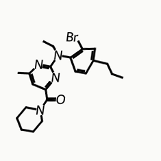 CCCc1ccc(N(CC)c2nc(C)cc(C(=O)N3CCCCC3)n2)c(Br)c1